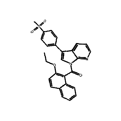 CCOc1ccc2ccccc2c1C(=O)n1cc(-c2ccc(S(C)(=O)=O)cc2)c2cccnc21